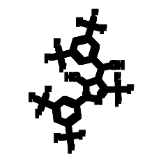 OC(c1cc(C(F)(F)F)cc(C(F)(F)F)c1)C1C(C(F)(F)F)=NN(c2cc(C(F)(F)F)cc(C(F)(F)F)c2)C1O